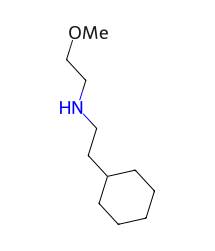 COCCNCCC1CCCCC1